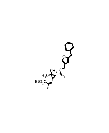 CCOC(=O)/C(F)=C\[C@H]1[C@@H](C(=O)OCc2coc(Cc3ccccc3)c2)C1(C)C